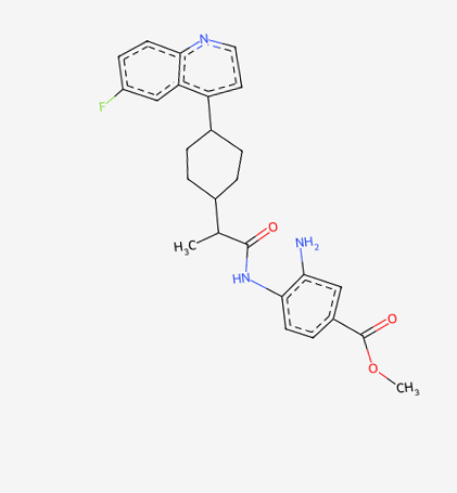 COC(=O)c1ccc(NC(=O)C(C)C2CCC(c3ccnc4ccc(F)cc34)CC2)c(N)c1